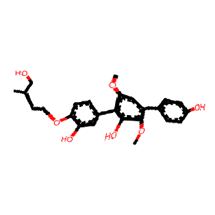 COc1cc(-c2ccc(O)cc2)c(OC)c(O)c1-c1ccc(OC/C=C(/C)CO)c(O)c1